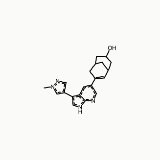 Cn1cc(-c2c[nH]c3ncc(C4=CC5CC(O)CC(C4)C5)cc23)cn1